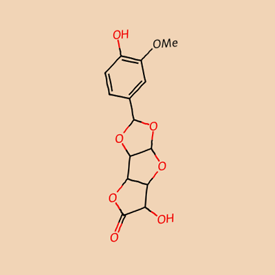 COc1cc(C2OC3OC4C(O)C(=O)OC4C3O2)ccc1O